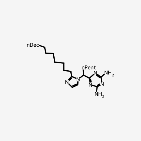 CCCCCCCCCCCCCCCCCc1nccn1C(CCCCC)c1nc(N)nc(N)n1